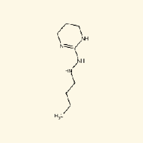 CCCCNNC1=NCCCN1